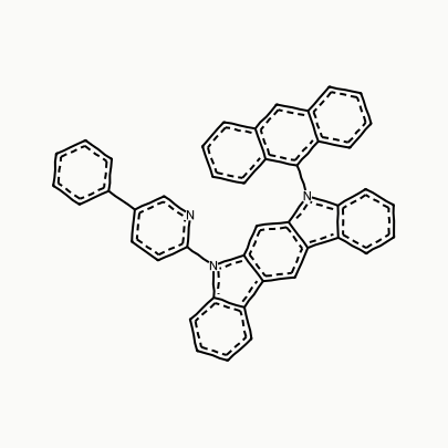 c1ccc(-c2ccc(-n3c4ccccc4c4cc5c6ccccc6n(-c6c7ccccc7cc7ccccc67)c5cc43)nc2)cc1